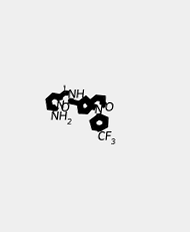 C[C@H](NC(=O)c1ccc2c(ccc(=O)n2-c2ccc(C(F)(F)F)cc2)c1)c1cccc(N)n1